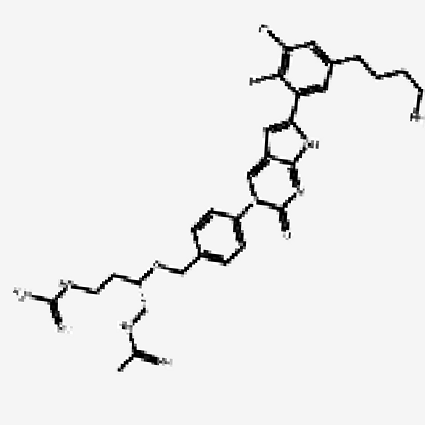 CC(=N)NC[C@H](CCNC(=N)N)OCc1ccc(-n2cc3cc(-c4cc(CCC[C@H](C)N)cc(Cl)c4F)[nH]c3nc2=O)cc1